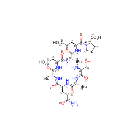 CC[C@H](C)[C@H](NC(=O)[C@H](CCC(N)=O)NC(=O)[C@@H](NC(=O)[C@@H](N)CO)[C@@H](C)CC)C(=O)N[C@@H](CC(=O)O)C(=O)N[C@H](C(=O)N[C@@H](CCC(=O)O)C(=O)N1CCC[C@H]1C(=O)O)[C@@H](C)CC